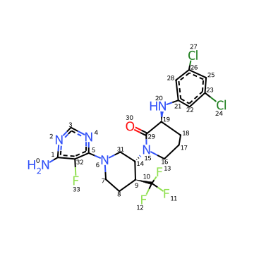 Nc1ncnc(N2CC[C@H](C(F)(F)F)[C@@H](N3CCC[C@H](Nc4cc(Cl)cc(Cl)c4)C3=O)C2)c1F